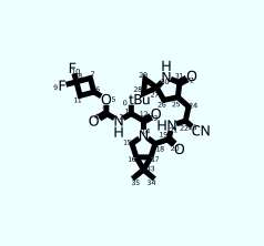 CC(C)(C)C(NC(=O)OC1CC(F)(F)C1)C(=O)N1CC2C(C1C(=O)NC(C#N)CC1CC3(CC3)NC1=O)C2(C)C